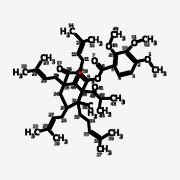 COc1ccc(C(=O)OC2=C(CC=C(C)C)C(=O)C3(CC=C(C)C)CC(CC=C(C)C)C(C)(CCC=C(C)C)C2(C(=O)C(C)C)C3=O)c(OC)c1OC